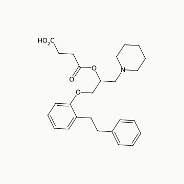 O=C(O)CCC(=O)OC(COc1ccccc1CCc1ccccc1)CN1CCCCC1